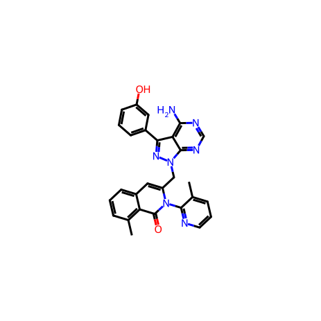 Cc1cccnc1-n1c(Cn2nc(-c3cccc(O)c3)c3c(N)ncnc32)cc2cccc(C)c2c1=O